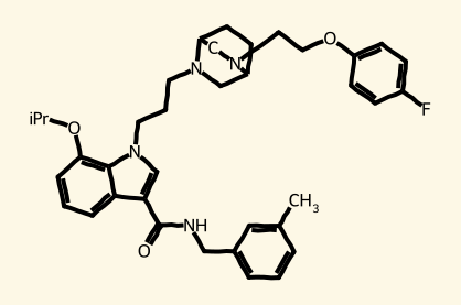 Cc1cccc(CNC(=O)c2cn(CCCN3CC4CCC3CN4CCOc3ccc(F)cc3)c3c(OC(C)C)cccc23)c1